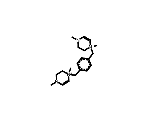 CN1C=C[N+](C)(Cc2ccc(C[N+]3(C)C=CN(C)CC3)cc2)CC1